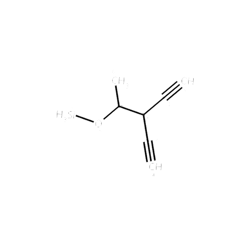 C#CC(C#C)C(C)O[SiH3]